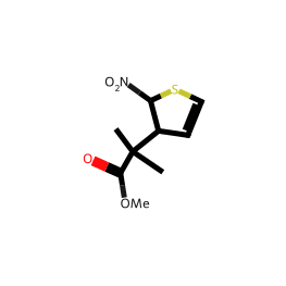 COC(=O)C(C)(C)C1C=CSC1[N+](=O)[O-]